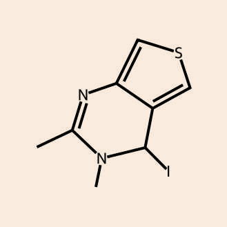 CC1=Nc2cscc2C(I)N1C